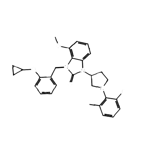 COc1cccc2c1n(Cc1ccccc1OC1CC1)c(=O)n2C1CCN(c2c(C)cccc2F)C1